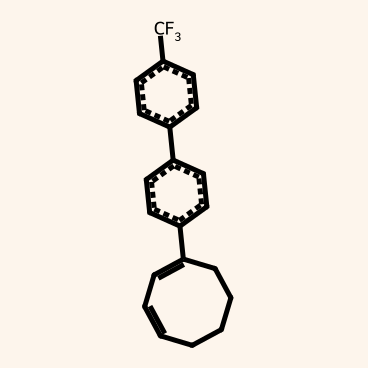 FC(F)(F)c1ccc(-c2ccc(/C3=C/C=C\CCCC3)cc2)cc1